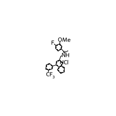 COc1cc([C@@H](C)NCc2cc(-c3cccc(C(F)(F)F)c3)c3ccccc3c2)ccc1F.Cl